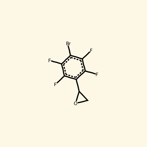 Fc1c(F)c(C2CO2)c(F)c(F)c1Br